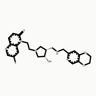 O=c1ccc2ncc(F)cc2n1CCN1C[C@H](CNCc2cc3c(cn2)OCCO3)[C@H](O)C1